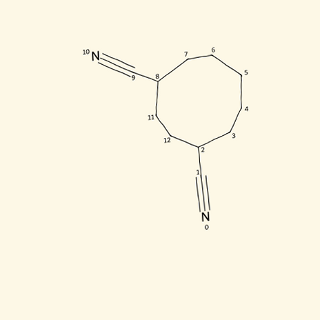 N#CC1CCCCCC(C#N)CC1